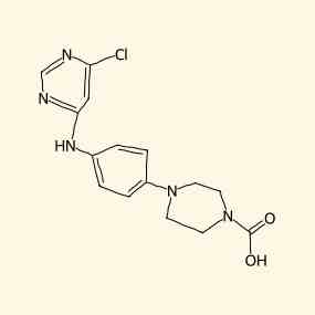 O=C(O)N1CCN(c2ccc(Nc3cc(Cl)ncn3)cc2)CC1